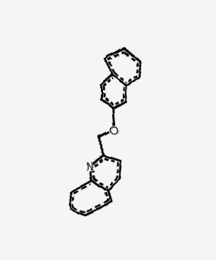 c1ccc2cc(OCc3ccc4ccccc4n3)ccc2c1